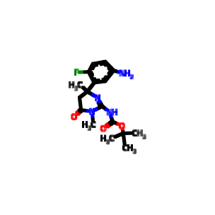 CN1C(=O)CC(C)(c2cc(N)ccc2F)N=C1NC(=O)OC(C)(C)C